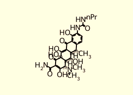 CCCNC(=O)Nc1ccc2c(c1O)C(=O)C1=C(O)[C@]3(O)C(=O)C(C(N)=O)=C(O)[C@@H](N(C)C)[C@@H]3[C@H](O)[C@H]1[C@H]2C